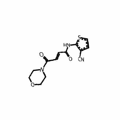 N#Cc1ccsc1NC(=O)C=CC(=O)N1CCOCC1